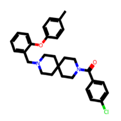 Cc1ccc(Oc2ccccc2CN2CCC3(CC2)CCN(C(=O)c2ccc(Cl)cc2)CC3)cc1